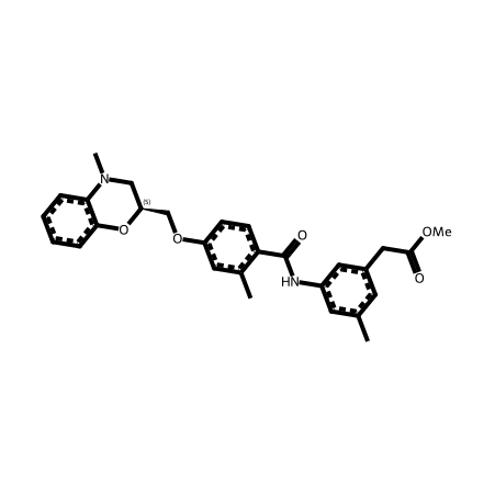 COC(=O)Cc1cc(C)cc(NC(=O)c2ccc(OC[C@@H]3CN(C)c4ccccc4O3)cc2C)c1